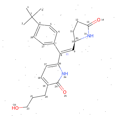 CC(C)(C)c1ccc(/C(=C\[C@H]2CCC(=O)N2)c2ccc(CCCO)c(=O)[nH]2)cc1